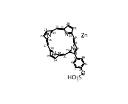 O=S(=O)(O)Oc1ccc(C2=CC3=CC4=NC(=CC5=NC(=CC6=NC(=CC2=N3)C=C6)C=C5)C=C4)cc1.[Zn]